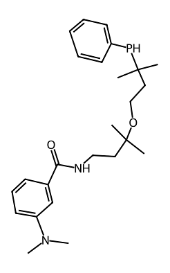 CN(C)c1cccc(C(=O)NCCC(C)(C)OCCC(C)(C)Pc2ccccc2)c1